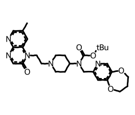 Cc1cnc2ncc(=O)n(CCN3CCC(N(Cc4cc5c(cn4)OCCCO5)C(=O)OC(C)(C)C)CC3)c2c1